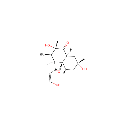 CC[C@@H](C)[C@@H]1[C@](C)(C(=O)/C=C\O)[C@H]2[C@H](C)C[C@@](C)(O)C[C@@H]2C(=O)[C@@]1(C)O